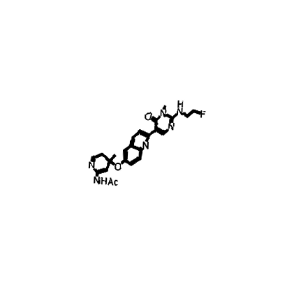 CC(=O)NC1=CC(C)(Oc2ccc3nc(-c4cnc(NCCF)n(C)c4=O)ccc3c2)CC=N1